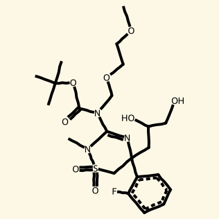 COCCOCN(C(=O)OC(C)(C)C)C1=NC(CC(O)CO)(c2ccccc2F)CS(=O)(=O)N1C